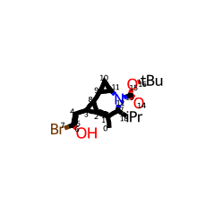 CC1=C2C(/C=C(\O)Br)C2C2CC2N(C(=O)OC(C)(C)C)C1C(C)C